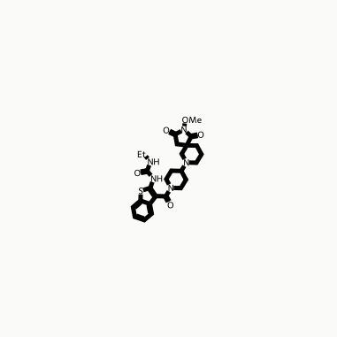 CCNC(=O)Nc1sc2ccccc2c1C(=O)N1CCC(N2CCCC3(CC(=O)N(OC)C3=O)C2)CC1